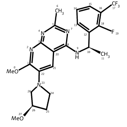 COc1nc2nc(C)nc(N[C@H](C)c3cccc(C(F)(F)F)c3F)c2cc1N1CC[C@@H](OC)C1